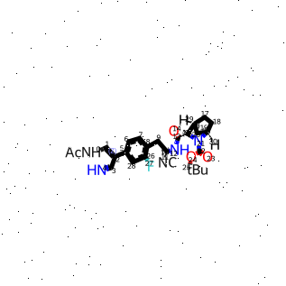 CC(=O)N/C=C(\C=N)c1ccc(C[C@@H](C#N)NC(=O)[C@@H]2[C@H]3CC[C@H](C3)N2C(=O)OC(C)(C)C)c(F)c1